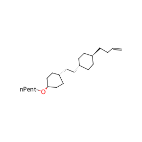 C=CCC[C@H]1CC[C@H](CC[C@H]2CC[C@H](OCCCCC)CC2)CC1